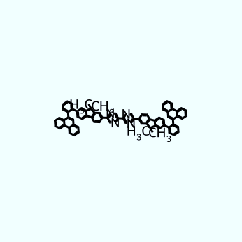 CC1(C)c2cc(-c3cnc(-c4cnc(-c5ccc6c(c5)C(C)(C)c5cc(-c7ccccc7-c7cc8ccccc8c8ccccc78)ccc5-6)cn4)cn3)ccc2-c2ccc(-c3ccccc3-c3cc4ccccc4c4ccccc34)cc21